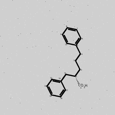 O=C(O)[C@@H](CCCc1ccccc1)Cc1ccccc1